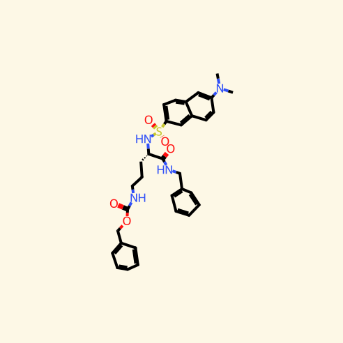 CN(C)c1ccc2cc(S(=O)(=O)N[C@@H](CCCNC(=O)OCc3ccccc3)C(=O)NCc3ccccc3)ccc2c1